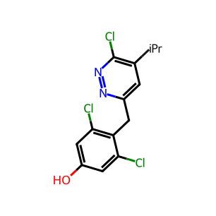 CC(C)c1cc(Cc2c(Cl)cc(O)cc2Cl)nnc1Cl